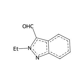 CCn1nc2ccccc2c1C=O